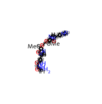 COc1cc2c(cc1OCCCOc1cc3c(cc1OC)C(=O)N1C=C(c4ccc(N5CCN(C)CC5)cc4)C[C@H]1C=N3)N=C[C@@H]1CC(c3ccc(NC(=O)[C@@H](C)NC(=O)[C@@H](N)C(C)C)cc3)=CN1C2=O